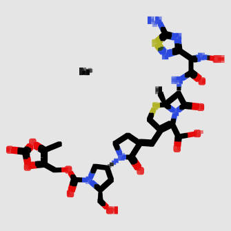 Cc1oc(=O)oc1COC(=O)N1C[C@H](N2CC/C(=C\C3=C(C(=O)[O-])N4C(=O)[C@@H](NC(=O)/C(=N\O)c5nsc(N)n5)[C@H]4SC3)C2=O)C[C@H]1CO.[Na+]